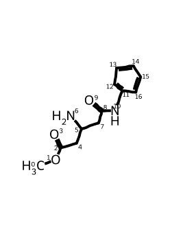 COC(=O)CC(N)CC(=O)Nc1ccccc1